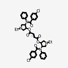 CCN1CC(OC(=O)/C=C/C(=O)OC2CN(CC)CC2N(C(=O)c2ccc(Cl)cc2)c2ccccc2)C(N(C(=O)c2ccc(Cl)cc2)c2ccccc2)C1